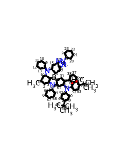 Cc1cc2c3c(c1)N(c1ccccc1)c1cc4nn(-c5ccccc5)nc4cc1B3c1cc(-c3ccccc3)c(N(c3ccc(C(C)(C)C)cc3)c3ccc(C(C)(C)C)cc3)cc1N2c1ccccc1